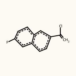 C=C(Cl)c1ccc2cc(F)ccc2c1